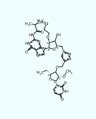 CC[C@H]1O[C@@H](n2ccc(=O)[nH]c2=O)[C@@H](OC)C1OCc1cn(C[C@H]2O[C@@H](n3cnc4c(=O)[nH]c(NC(=O)C(C)C)nc43)[C@@H](OCCOC)C2O)nn1